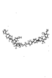 Cc1ncsc1-c1ccc([C@H](C)NC(=O)[C@H]2C[C@@H](O)CN2C(=O)[C@@H](NC(=O)CO[C@H]2C[C@@H](N3CCN(c4ccc(C(=O)N[C@H]5C(C)(C)[C@H](Oc6ccc(C#N)c(Cl)c6)C5(C)C)cn4)CC3)C2)C(C)(C)C)cc1